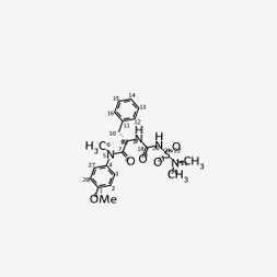 COc1ccc(N(C)C(=O)[C@H](Cc2ccccc2)NC(=O)NS(=O)(=O)N(C)C)cc1